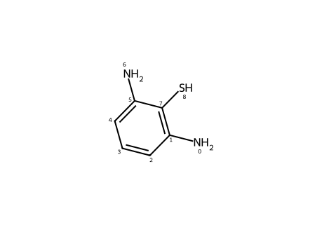 Nc1cccc(N)c1S